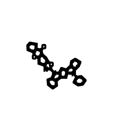 O=c1c2ccccc2oc2cc3nc(-n4c5ccccc5c5cc6c(cc54)c4ccccc4n6-c4ccccc4)oc3cc12